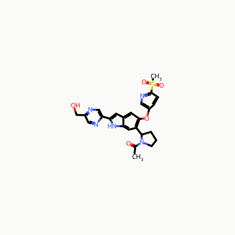 CC(=O)N1CCCC1c1cc2[nH]c(-c3cnc(CO)cn3)cc2cc1Oc1ccc(S(C)(=O)=O)nc1